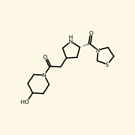 O=C(CC1CN[C@H](C(=O)N2CCSC2)C1)N1CCC(O)CC1